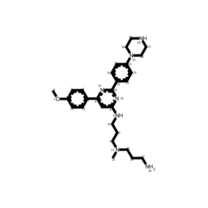 COc1ccc(-c2cc(NCCCN(C)CCCN)nc(-c3ccc(N4CCNCC4)cc3)n2)cc1